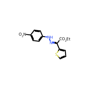 CCOC(=O)/C(=N\Nc1ccc([N+](=O)[O-])cc1)c1cccs1